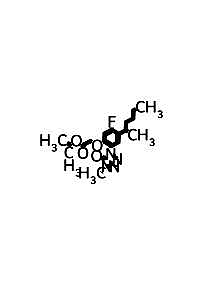 CCCCC(C)c1cc(-n2nnn(C)c2=O)c(OCC(=O)OC(C)C)cc1F